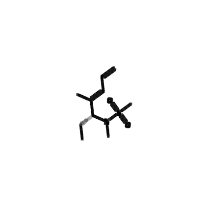 C=C/C=C(\C)[C@@H](CC)N(C)S(C)(=O)=O